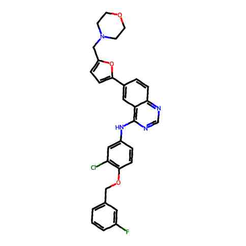 Fc1cccc(COc2ccc(Nc3ncnc4ccc(-c5ccc(CN6CCOCC6)o5)cc34)cc2Cl)c1